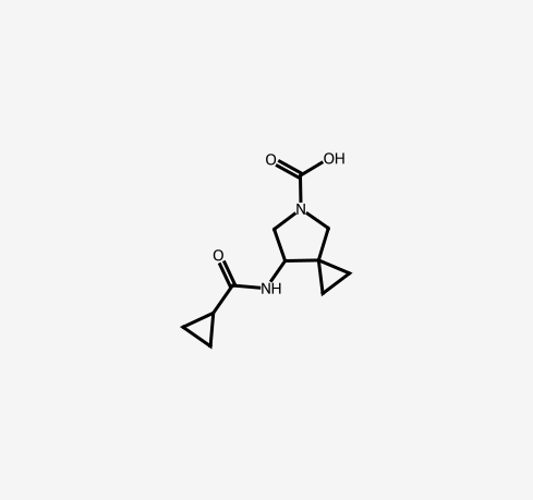 O=C(NC1CN(C(=O)O)CC12CC2)C1CC1